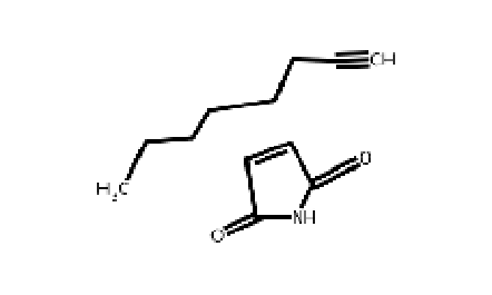 C#CCCCCCC.O=C1C=CC(=O)N1